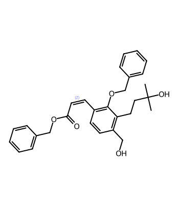 CC(C)(O)CCc1c(CO)ccc(/C=C\C(=O)OCc2ccccc2)c1OCc1ccccc1